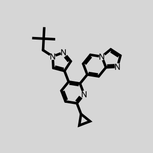 CC(C)(C)Cn1cc(-c2ccc(C3CC3)nc2-c2ccn3ccnc3c2)cn1